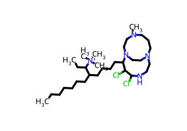 CCCCCCCC(CCCCC1C(Cl)C(Cl)NCCN2CCCN(C)CCN1CC2)C(CC)[N+](C)(C)C